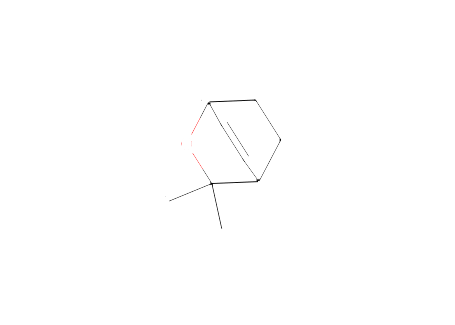 CC1(C)OC2C=CC1CC2